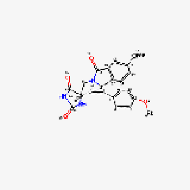 CCOc1ccc(C#C[C@]2(CN3Cc4ccc(OC)cc4C3=O)NC(=O)NC2=O)cc1